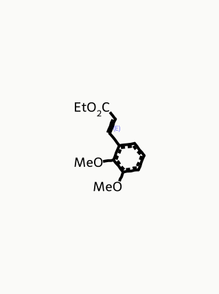 CCOC(=O)/C=C/c1cccc(OC)c1OC